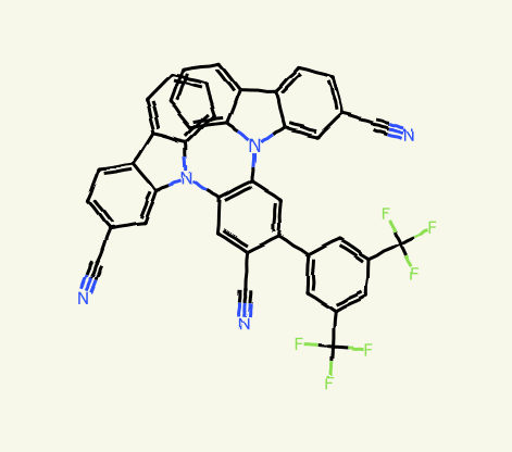 N#Cc1ccc2c3ccccc3n(-c3cc(C#N)c(-c4cc(C(F)(F)F)cc(C(F)(F)F)c4)cc3-n3c4ccccc4c4ccc(C#N)cc43)c2c1